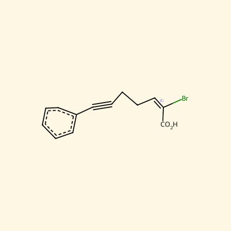 O=C(O)/C(Br)=C\CCC#Cc1ccccc1